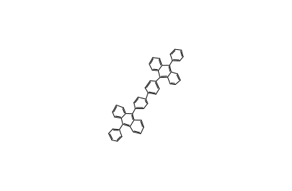 c1ccc(-c2c3ccccc3c(-c3ccc(-c4ccc(-c5c6ccccc6c(-c6ccccc6)c6ccccc56)cc4)cc3)c3ccccc23)cc1